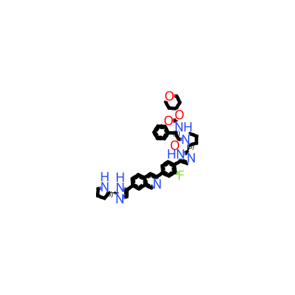 O=C(N[C@@H](C(=O)N1CCC[C@H]1c1ncc(-c2ccc(-c3cc4ccc(-c5cnc([C@@H]6CCCN6)[nH]5)cc4cn3)cc2F)[nH]1)c1ccccc1)OC1CCOCC1